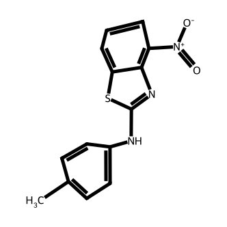 Cc1ccc(Nc2nc3c([N+](=O)[O-])cccc3s2)cc1